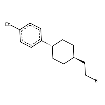 CCc1ccc([C@H]2CC[C@H](CCBr)CC2)cc1